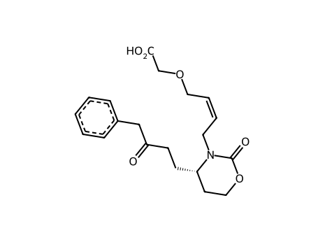 O=C(O)COC/C=C\CN1C(=O)OCC[C@@H]1CCC(=O)Cc1ccccc1